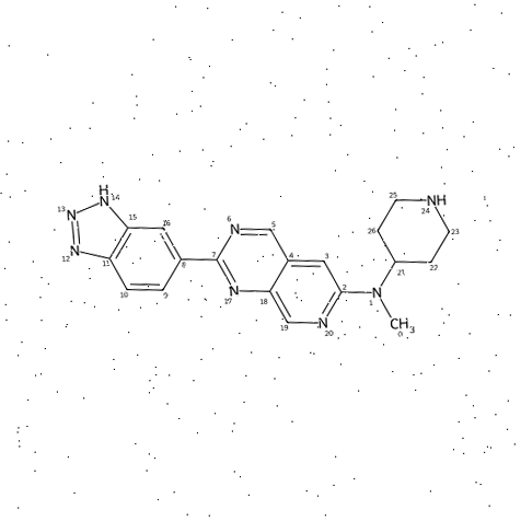 CN(c1cc2cnc(-c3ccc4nn[nH]c4c3)nc2cn1)C1CCNCC1